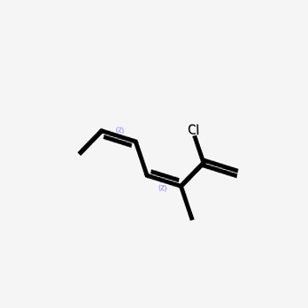 C=C(Cl)/C(C)=C\C=C/C